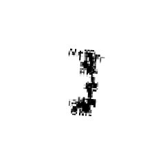 COC(=O)N[C@H](C(=O)N1CCCC1c1ncc(C#Cc2csc3c(C#Cc4cnc(C5CCCN5C(=O)[C@@H](NC(=O)OC)C(C)C)[nH]4)csc23)[nH]1)C(C)C